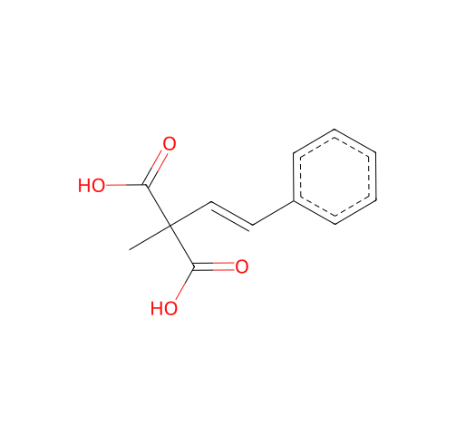 CC(C=Cc1ccccc1)(C(=O)O)C(=O)O